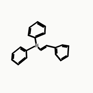 C(=[CH][Bi]([c]1ccccc1)[c]1ccccc1)c1ccccc1